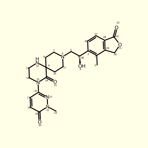 Cc1c([C@@H](O)CN2CCC3(CC2)NCCN(c2ccc(=O)n(C)n2)C3=O)ccc2c1COC2=O